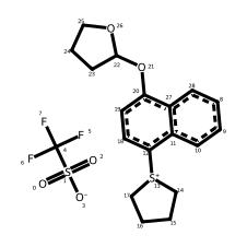 O=S(=O)([O-])C(F)(F)F.c1ccc2c([S+]3CCCC3)ccc(OC3CCCO3)c2c1